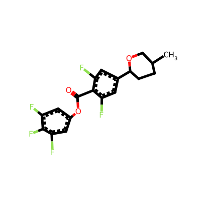 CC1CCC(c2cc(F)c(C(=O)Oc3cc(F)c(F)c(F)c3)c(F)c2)OC1